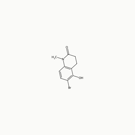 CN1C(=O)CCc2c1ccc(Br)c2O